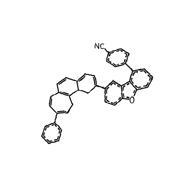 N#Cc1ccc(-c2cccc3oc4ccc(C5=CC=C6C=CC7=C(CC=C(c8ccccc8)C=C7)C6C5)cc4c23)cc1